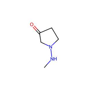 CNN1CCC(=O)C1